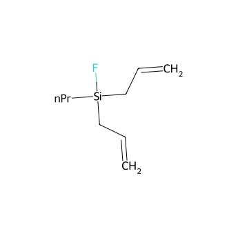 C=CC[Si](F)(CC=C)CCC